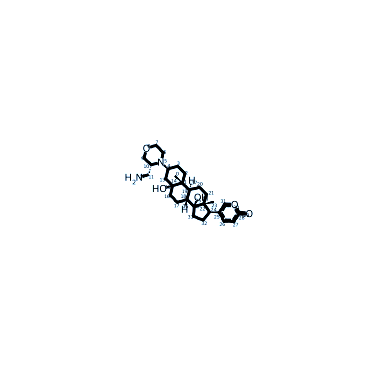 C[C@]12CC[C@H](N3CCOC[C@H]3CN)C[C@@]1(O)CC[C@@H]1[C@@H]2CC[C@]2(C)[C@@H](c3ccc(=O)oc3)CC[C@]12O